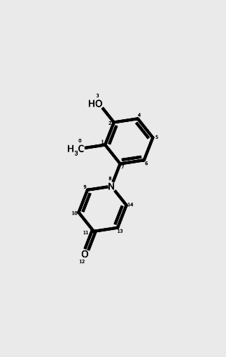 Cc1c(O)cccc1-n1ccc(=O)cc1